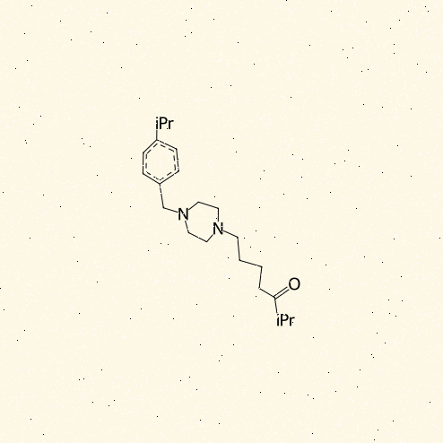 CC(C)C(=O)CCCCN1CCN(Cc2ccc(C(C)C)cc2)CC1